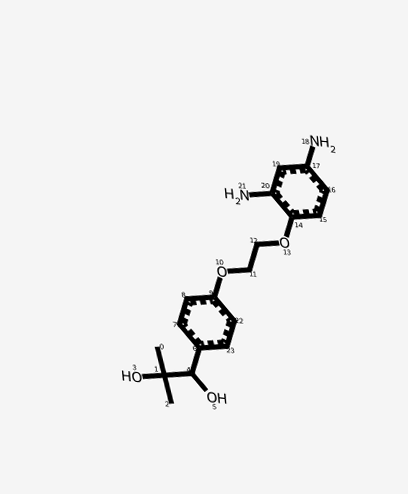 CC(C)(O)C(O)c1ccc(OCCOc2ccc(N)cc2N)cc1